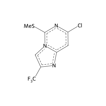 CSc1nc(Cl)cc2nc(C(F)(F)F)cn12